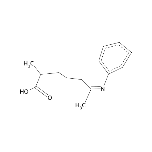 CC(CCCC(C)C(=O)O)=Nc1ccccc1